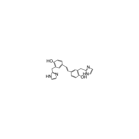 Oc1ccc(C=Cc2ccc(O)c(Cc3ncc[nH]3)c2)cc1Cc1ncc[nH]1